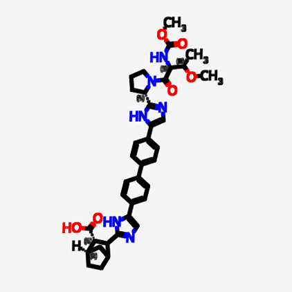 COC(=O)N[C@H](C(=O)N1CCC[C@H]1c1ncc(-c2ccc(-c3ccc(-c4cnc(C5C6CC[C@H](C6)[C@@H]5C(=O)O)[nH]4)cc3)cc2)[nH]1)[C@@H](C)OC